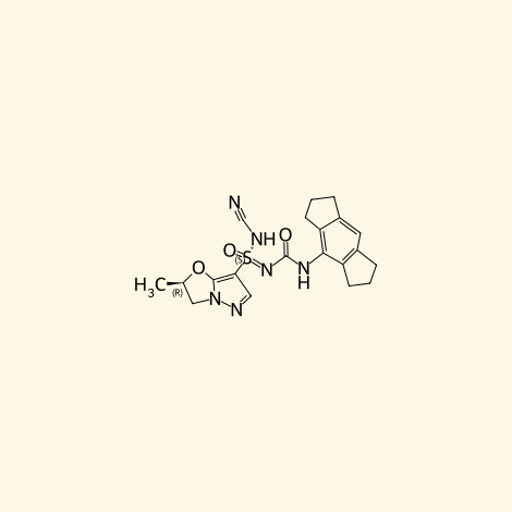 C[C@@H]1Cn2ncc([S@@](=O)(=NC(=O)Nc3c4c(cc5c3CCC5)CCC4)NC#N)c2O1